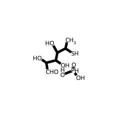 CC(S)C(O)C(O)C(O)C=O.O=[PH](O)O